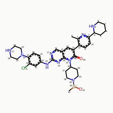 Cc1nc(C2CCCCN2)ccc1-c1cc2cnc(Nc3ccc(N4CCNCC4)c(Cl)c3)nc2n(C2CCN([S+](C)[O-])CC2)c1=O